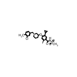 Cc1ccc(CN2CCCC(Oc3cc(F)c(C(=O)NS(C)(=O)=O)cc3C3CC3)C2)cc1Cl